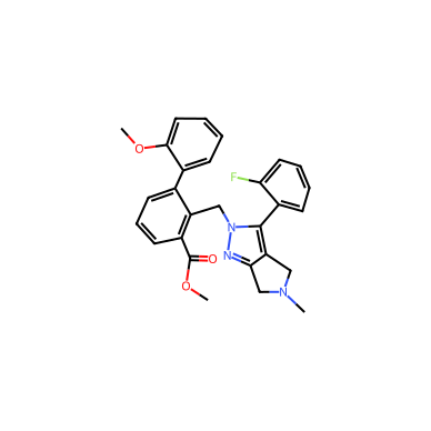 COC(=O)c1cccc(-c2ccccc2OC)c1Cn1nc2c(c1-c1ccccc1F)CN(C)C2